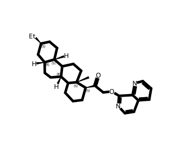 CC[C@H]1CC[C@@H]2C3CC[C@@]4(C)C(CCC[C@@H]4C(=O)COc4nccc5cccnc45)[C@@H]3CC[C@@H]2C1